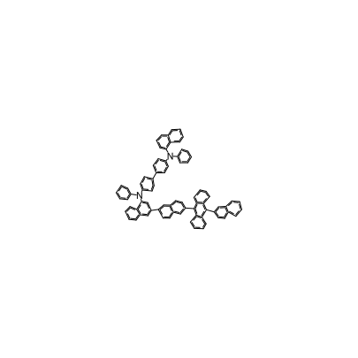 c1ccc(N(c2ccc(-c3ccc(N(c4ccccc4)c4cc(-c5ccc6cc(-c7c8ccccc8c(-c8ccc9ccccc9c8)c8ccccc78)ccc6c5)cc5ccccc45)cc3)cc2)c2cccc3ccccc23)cc1